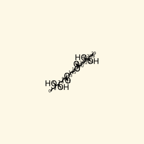 CCCC(O)C(O)CCCC(=O)OCCCCOC(=O)CCCC(O)C(O)CCC